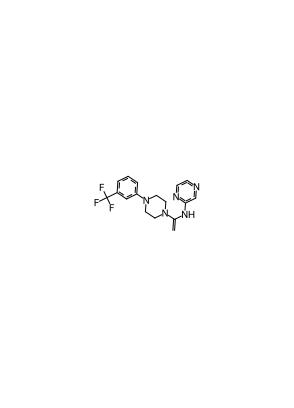 C=C(Nc1cnccn1)N1CCN(c2cccc(C(F)(F)F)c2)CC1